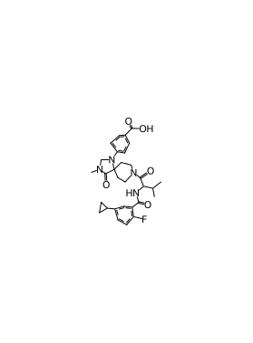 CC(C)C(NC(=O)c1cc(C2CC2)ccc1F)C(=O)N1CCC2(CC1)C(=O)N(C)CN2c1ccc(C(=O)O)cc1